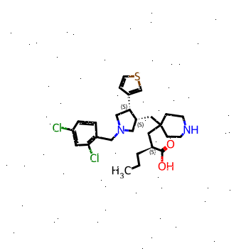 CCC[C@@H](CC1(C[C@@H]2CN(Cc3ccc(Cl)cc3Cl)C[C@@H]2c2ccsc2)CCNCC1)C(=O)O